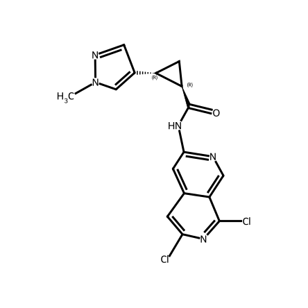 Cn1cc([C@@H]2C[C@H]2C(=O)Nc2cc3cc(Cl)nc(Cl)c3cn2)cn1